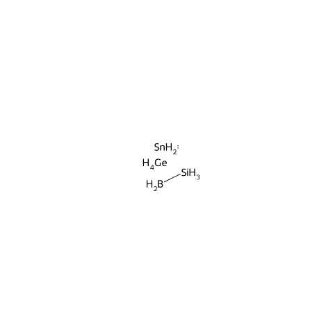 B[SiH3].[GeH4].[SnH2]